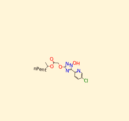 CCCCCC(C)OC(=O)COc1nc(-c2ccc(Cl)cn2)n(O)n1